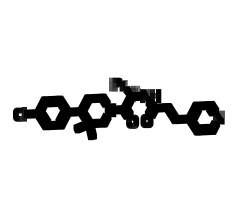 CC(C)[C@@H](NC(=O)CCc1ccncc1)C(=O)N1CCC(c2ccc(Cl)cc2)C(C)(C)C1